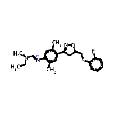 CCN(C)/C=N/c1cc(C)c(C2=NOC(CSc3ccccc3F)C2)cc1C